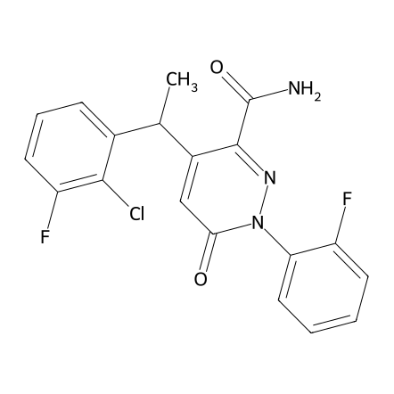 CC(c1cc(=O)n(-c2ccccc2F)nc1C(N)=O)c1cccc(F)c1Cl